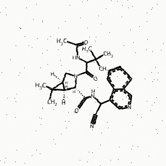 CC(=O)NC(C(=O)N1C[C@H]2[C@@H]([C@H]1C(=O)NC(C#N)c1cncc3ccccc13)C2(C)C)C(C)(C)C